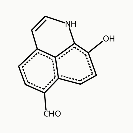 O=Cc1ccc2c3c(c(O)ccc13)NC=C2